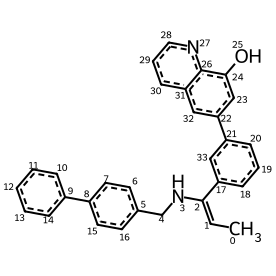 C/C=C(/NCc1ccc(-c2ccccc2)cc1)c1cccc(-c2cc(O)c3ncccc3c2)c1